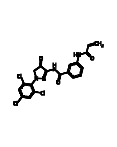 C=CC(=O)Nc1cccc(C(=O)NC2=NN(c3c(Cl)cc(Cl)cc3Cl)CC2=O)c1